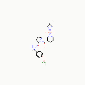 C[C@@H](NC(=O)[C@H]1CCCN1C(=O)[C@H]1CCCN(S(=O)(=O)N2CC(C#N)C2)C1)c1ccc(OC(F)F)cc1